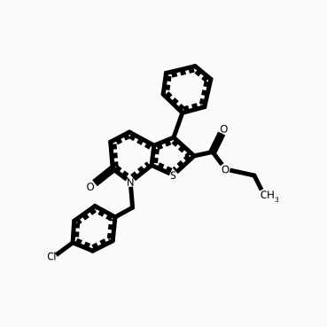 CCOC(=O)c1sc2c(ccc(=O)n2Cc2ccc(Cl)cc2)c1-c1ccccc1